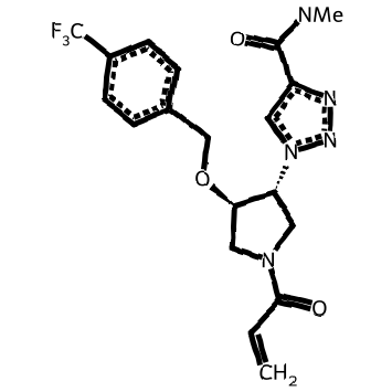 C=CC(=O)N1C[C@@H](n2cc(C(=O)NC)nn2)[C@H](OCc2ccc(C(F)(F)F)cc2)C1